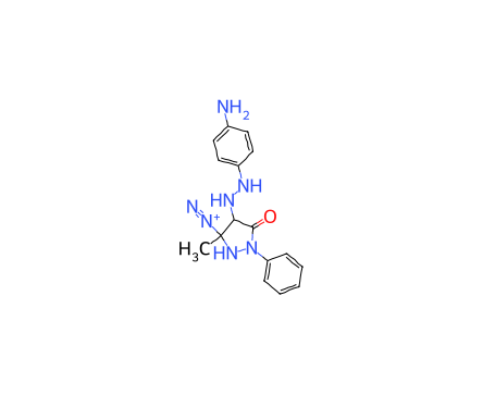 CC1([N+]#N)NN(c2ccccc2)C(=O)C1NNc1ccc(N)cc1